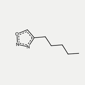 CCCCCc1conn1